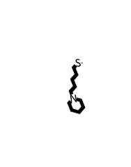 [S]CCCCCN1CCCCC1